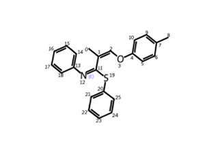 CC(=COc1ccc(C)cc1)/C(=N\c1ccccc1)Sc1ccccc1